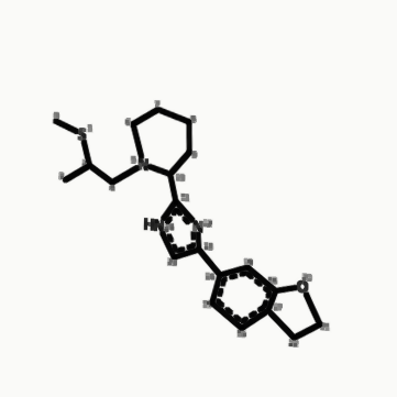 CSC(C)CN1CCCCC1c1nc(-c2ccc3c(c2)OCC3)c[nH]1